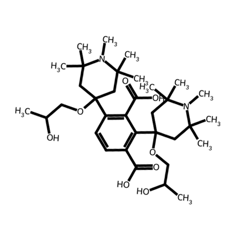 CC(O)COC1(c2ccc(C(=O)O)c(C3(OCC(C)O)CC(C)(C)N(C)C(C)(C)C3)c2C(=O)O)CC(C)(C)N(C)C(C)(C)C1